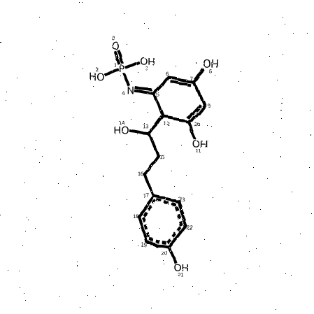 O=P(O)(O)/N=C1\C=C(O)C=C(O)C1C(O)CCc1ccc(O)cc1